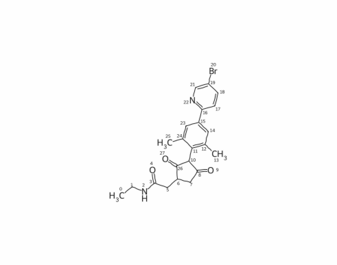 CCNC(=O)CC1CC(=O)C(c2c(C)cc(-c3ccc(Br)cn3)cc2C)C1=O